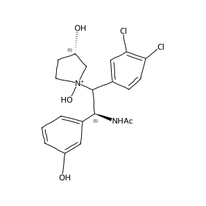 CC(=O)N[C@@H](c1cccc(O)c1)C(c1ccc(Cl)c(Cl)c1)[N+]1(O)CC[C@H](O)C1